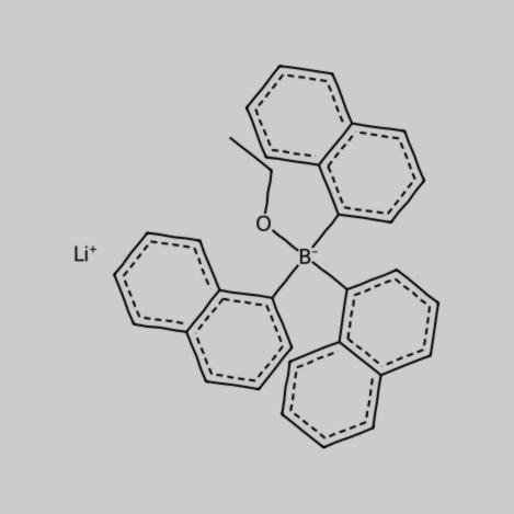 CCO[B-](c1cccc2ccccc12)(c1cccc2ccccc12)c1cccc2ccccc12.[Li+]